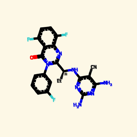 CC[C@H](Nc1nc(N)nc(N)c1C#N)c1nc2c(F)ccc(F)c2c(=O)n1-c1cccc(F)c1